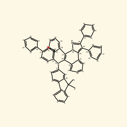 CC1(C)c2ccccc2-c2ccc(N(c3ccc(-c4ccccc4)cc3)c3c(-c4ccccc4)n4nc(-c5ccccc5)c(-c5ccccc5)c4c4ccccc34)cc21